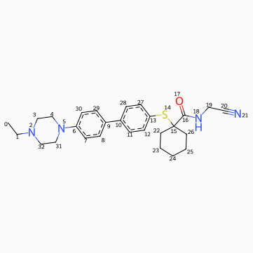 CCN1CCN(c2ccc(-c3ccc(SC4(C(=O)NCC#N)CCCCC4)cc3)cc2)CC1